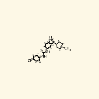 CN1CCC(c2c[nH]c3ccc(NC(=O)Nc4ccc(Cl)cc4)cc23)CC1